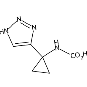 O=C(O)NC1(c2c[nH]nn2)CC1